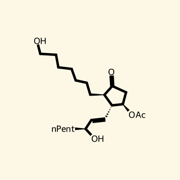 CCCCC[C@H](O)/C=C/[C@H]1[C@H](OC(C)=O)CC(=O)[C@@H]1CCCCCCCO